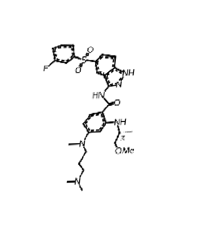 COC[C@@H](C)Nc1cc(N(C)CCCN(C)C)ccc1C(=O)Nc1n[nH]c2ccc(S(=O)(=O)c3cccc(F)c3)cc12